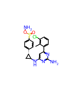 Cc1c(Cl)cccc1-c1cc(NC2C[C@@H]2c2ccc(S(=O)ON)cc2)nc(N)n1